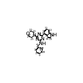 c1ccc(CNc2nc(-c3cccc4[nH]ccc34)nc(N3CCOCC3)n2)nc1